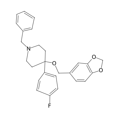 Fc1ccc(C2(OCc3ccc4c(c3)OCO4)CCN(Cc3ccccc3)CC2)cc1